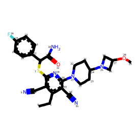 CCc1c(C#N)c(SC(C(N)=O)c2ccc(F)cc2)nc(N2CCC(N3CC(OC)C3)CC2)c1C#N